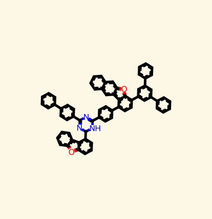 c1ccc(-c2ccc(C3=NC(c4cccc5oc6ccccc6c45)NC(c4ccc(-c5ccc(-c6cc(-c7ccccc7)cc(-c7ccccc7)c6)c6oc7cc8ccccc8cc7c56)cc4)=N3)cc2)cc1